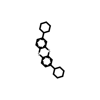 c1cc2c(cc1C1CCCCC1)Sc1cc(C3CCCCC3)ccc1S2